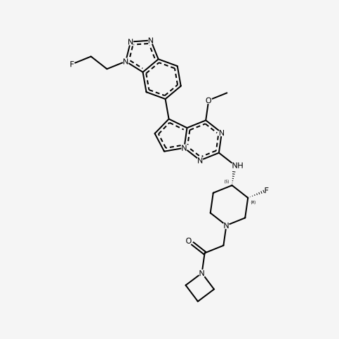 COc1nc(N[C@H]2CCN(CC(=O)N3CCC3)C[C@H]2F)nn2ccc(-c3ccc4nnn(CCF)c4c3)c12